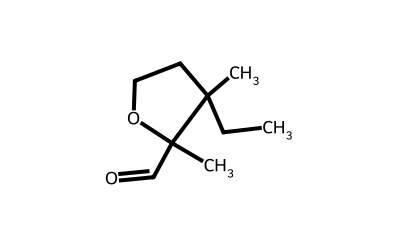 CCC1(C)CCOC1(C)C=O